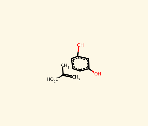 C=C(C)C(=O)O.Oc1cccc(O)c1